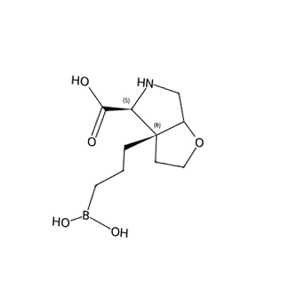 O=C(O)[C@H]1NCC2OCC[C@@]21CCCB(O)O